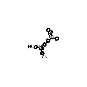 N#Cc1ccc(-c2cc(-c3ccc(C#N)cc3)nc(-c3ccc(-c4ccc(-c5cc(-c6ccccc6)nc(-c6ccc7ccccc7n6)n5)cc4)cc3)n2)cc1